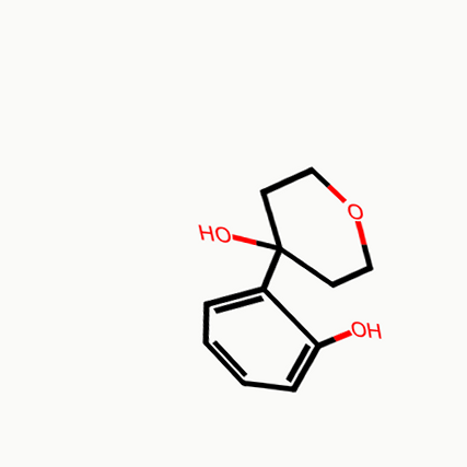 Oc1ccccc1C1(O)CCOCC1